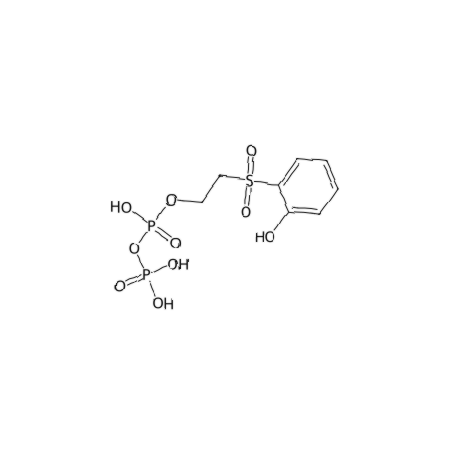 O=P(O)(O)OP(=O)(O)OCCS(=O)(=O)c1ccccc1O